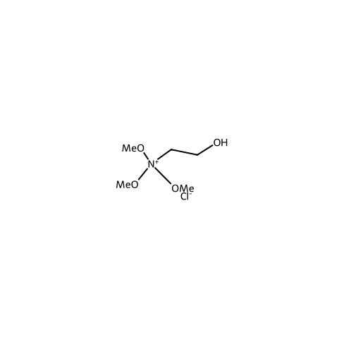 CO[N+](CCO)(OC)OC.[Cl-]